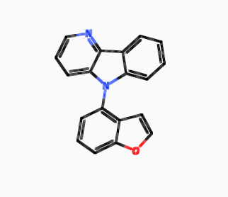 c1cc(-n2c3ccccc3c3ncccc32)c2ccoc2c1